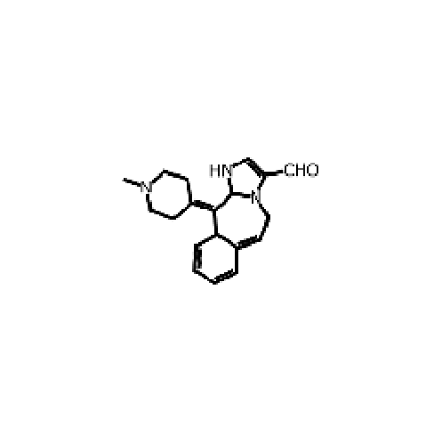 CN1CCC(=C2C3C=CC=CC3=CCN3C(C=O)=CNC23)CC1